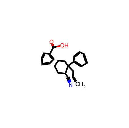 C=CCC1(c2ccccc2)CCCCC1C#N.O=C(O)c1ccccc1